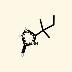 CCC(C)(C)c1n[nH]c(=O)[nH]1